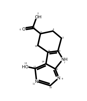 O=C(O)C1CCc2[nH]c3ncnc(O)c3c2C1